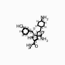 CNC(=O)C1=CC(CCC2CCC(N)CC2)(C(N)=O)N([C@@H](C)c2ccccc2)N1.Cl